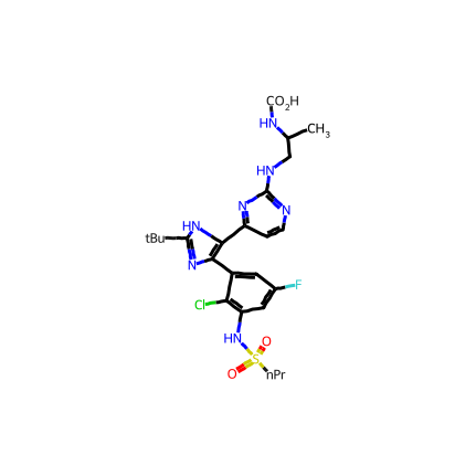 CCCS(=O)(=O)Nc1cc(F)cc(-c2nc(C(C)(C)C)[nH]c2-c2ccnc(NCC(C)NC(=O)O)n2)c1Cl